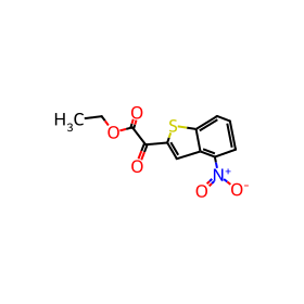 CCOC(=O)C(=O)c1cc2c([N+](=O)[O-])cccc2s1